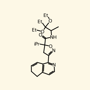 CCOC(CC)(OCC)C(C)NC(=O)C1(C(C)C)CC(c2nccc3c2C=CCC3)=NO1